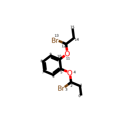 CCC(Br)Oc1ccccc1OC(Br)CC